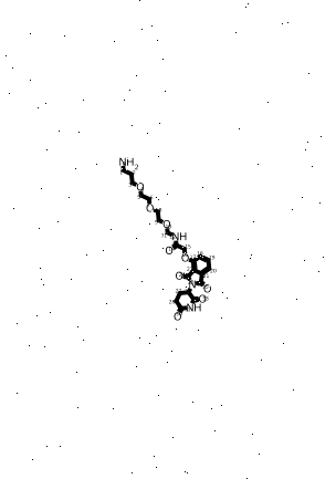 NCCCOCCOCCOCNC(=O)COc1cccc2c1C(=O)N(C1CCC(=O)NC1=O)C2=O